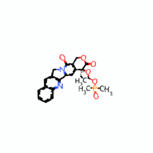 CC[C@@]1(OCOP(C)(C)=O)C(=O)OCc2c1cc1n(c2=O)Cc2cc3ccccc3nc2-1